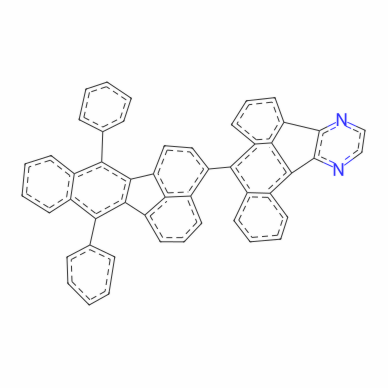 c1ccc(-c2c3c(c(-c4ccccc4)c4ccccc24)-c2ccc(-c4c5ccccc5c5c6c(cccc46)-c4nccnc4-5)c4cccc-3c24)cc1